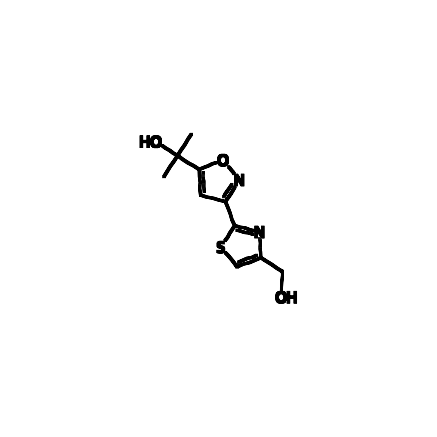 CC(C)(O)c1cc(-c2nc(CO)cs2)no1